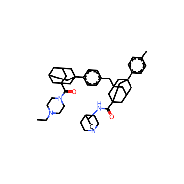 CCN1CCN(C(=O)C23CC4CC(C2)CC(c2ccc(CC56CC7CC(C(=O)NC8CN9CCC8CC9)(C5)CC(c5ccc(C)cc5)(C7)C6)cc2)(C4)C3)CC1